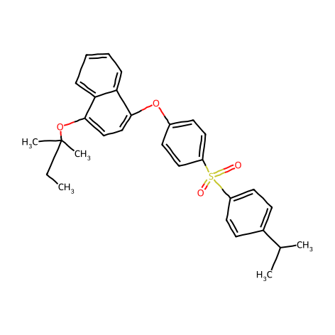 CCC(C)(C)Oc1ccc(Oc2ccc(S(=O)(=O)c3ccc(C(C)C)cc3)cc2)c2ccccc12